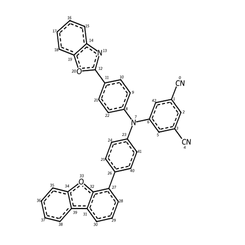 N#Cc1cc(C#N)cc(N(c2ccc(-c3nc4ccccc4o3)cc2)c2ccc(-c3cccc4c3oc3ccccc34)cc2)c1